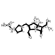 C[C@@H](O)C1C(=O)N2C(C=O)=C(CN3CC[C@H](NS(=O)O)C3)[C@H](C)[C@H]12